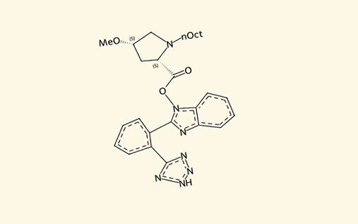 CCCCCCCCN1C[C@@H](OC)C[C@H]1C(=O)On1c(-c2ccccc2-c2nn[nH]n2)nc2ccccc21